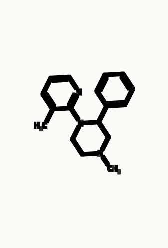 Cc1cccnc1N1CCN(C)CC1c1ccccc1